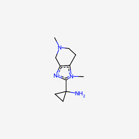 CN1CCc2c(nc(C3(N)CC3)n2C)C1